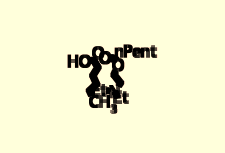 CCCCCC(=O)O.CCCCCC(=O)OCCN(CC)CC